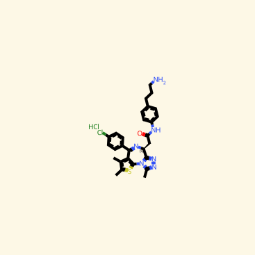 Cc1sc2c(c1C)C(c1ccc(Cl)cc1)=N[C@@H](CC(=O)Nc1ccc(CCCN)cc1)c1nnc(C)n1-2.Cl